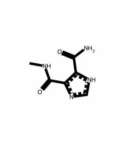 CNC(=O)c1nc[nH]c1C(N)=O